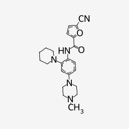 CN1CCN(c2ccc(NC(=O)c3ccc(C#N)o3)c(N3CCCCC3)c2)CC1